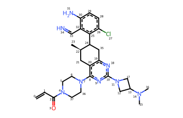 C=CC(=O)N1CCN(c2nc(N3CC(N(C)C)C3)nc3c2C[C@@H](C)C(c2c(Cl)ccc(N)c2C=N)C3)CC1